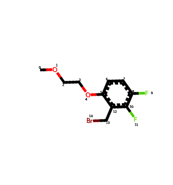 COCCOc1ccc(F)c(F)c1CBr